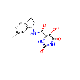 Cc1ccc2c(c1)[C@H](NC(=O)c1[nH]c(=O)[nH]c(=O)c1O)CC2